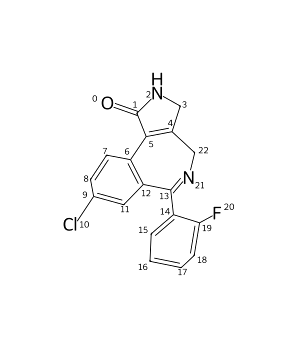 O=C1NCC2=C1c1ccc(Cl)cc1C(c1ccccc1F)=NC2